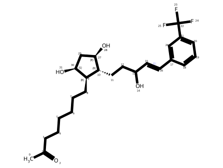 CC(=O)CCCCCC[C@@H]1[C@@H](CCC(O)/C=C/c2cccc(C(F)(F)F)c2)[C@H](O)C[C@@H]1O